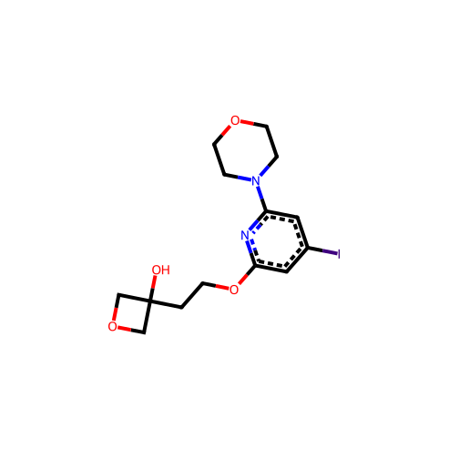 OC1(CCOc2cc(I)cc(N3CCOCC3)n2)COC1